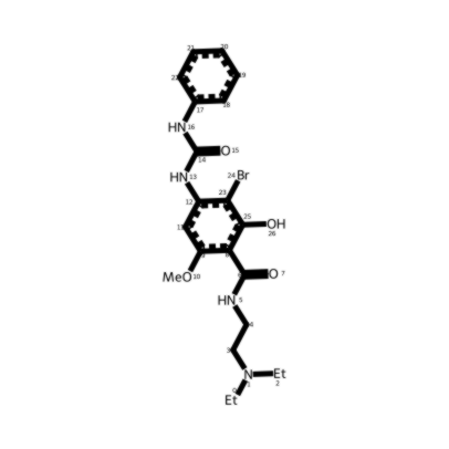 CCN(CC)CCNC(=O)c1c(OC)cc(NC(=O)Nc2ccccc2)c(Br)c1O